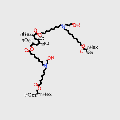 CCCCCCCCC(CCCCCC)COC(=O)CCCCCCCN(CCO)CCCCCCCC(=O)OCC(CCCCCCCC)CC(CCCC)C(CC)CC(CCCCCC)C(=O)OCCCCCCCCCN(CCCO)CCCCCCCCCOC(=O)C(CCCC)CCCCCC